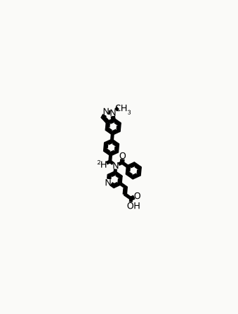 [2H]C(c1ccc(-c2ccc3c(cnn3C)c2)cc1)N(C(=O)c1ccccc1)c1cncc(/C=C/C(=O)O)c1